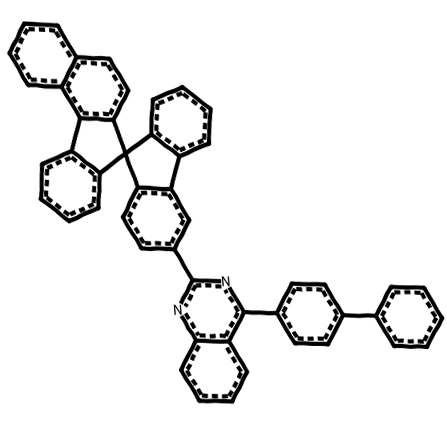 c1ccc(-c2ccc(-c3nc(-c4ccc5c(c4)-c4ccccc4C54c5ccccc5-c5c4ccc4ccccc54)nc4ccccc34)cc2)cc1